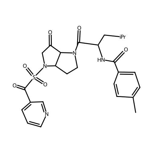 Cc1ccc(C(=O)NC(CC(C)C)C(=O)N2CCC3C2C(=O)CN3S(=O)(=O)C(=O)c2cccnc2)cc1